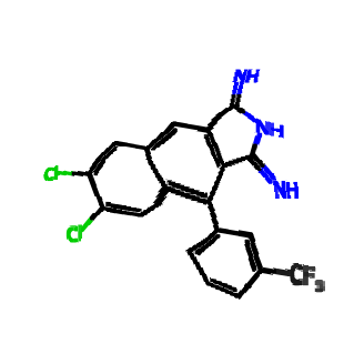 N=C1NC(=N)c2c1cc1cc(Cl)c(Cl)cc1c2-c1cccc(C(F)(F)F)c1